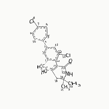 Cc1cc(-c2ccc(Cl)cc2)cc(Cl)c1C1=C(O)CC(C)(C)NC1=O